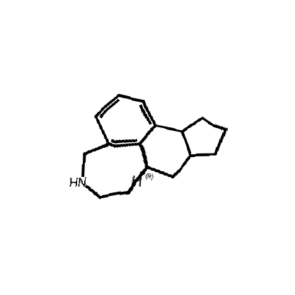 c1cc2c3c(c1)C1CCCC1C[C@@H]3CCNC2